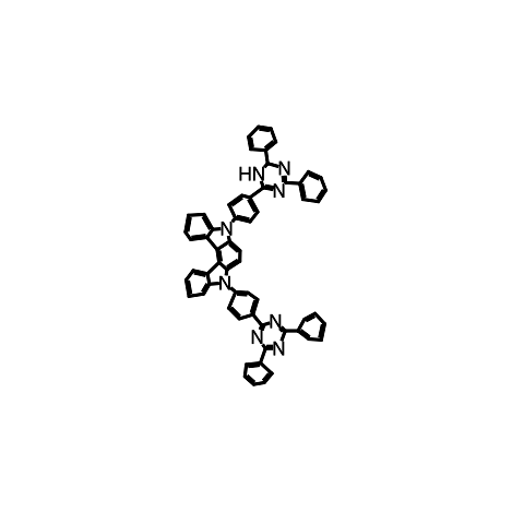 c1ccc(C2=NC(c3ccccc3)NC(c3ccc(-n4c5ccccc5c5c6c7ccccc7n(-c7ccc(-c8nc(-c9ccccc9)nc(-c9ccccc9)n8)cc7)c6ccc54)cc3)=N2)cc1